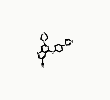 N#Cc1cnc2cc(N3CCOCC3)nc(OC3CCC(n4ccnc4)CC3)c2c1